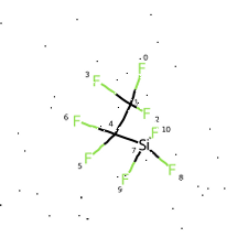 FC(F)(F)C(F)(F)[Si](F)(F)F